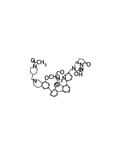 COc1cc(-c2cccc(-c3cccc(-c4ccc(CN(C[C@@H]5CCC(=O)N5)C(=O)O)c(OC)n4)c3Cl)c2Cl)cc2c1CN(CC1CCN(C(C)=O)CC1)CC2